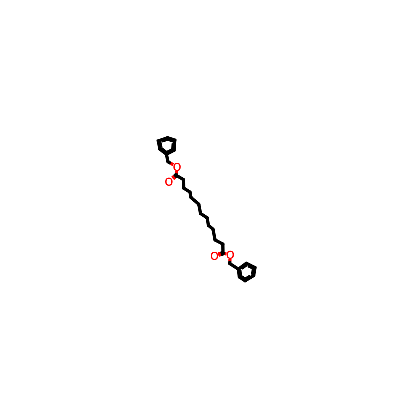 O=C(CCCCCCCCCCCC(=O)OCc1ccccc1)OCc1ccccc1